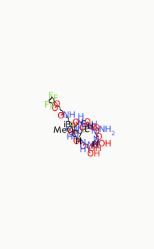 CC[C@H](C)[C@@H]1NC(=O)CNC(=O)[C@@H]2Cc3c([nH]c4c(CSCCCCNC(=O)CCCC(=O)Oc5c(F)c(F)cc(F)c5F)c(OC)ccc34)[S+]([O-])C[C@H](NC(=O)CNC1=O)C(=O)N[C@@H](CC(N)=O)C(=O)N1C[C@H](O)C[C@H]1C(=O)N[C@@H]([C@@H](C)[C@@H](O)CO)C(=O)N2